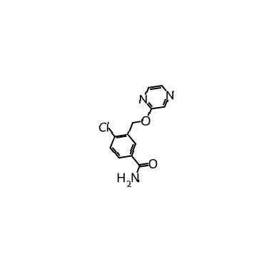 NC(=O)c1ccc(Cl)c(COc2cnccn2)c1